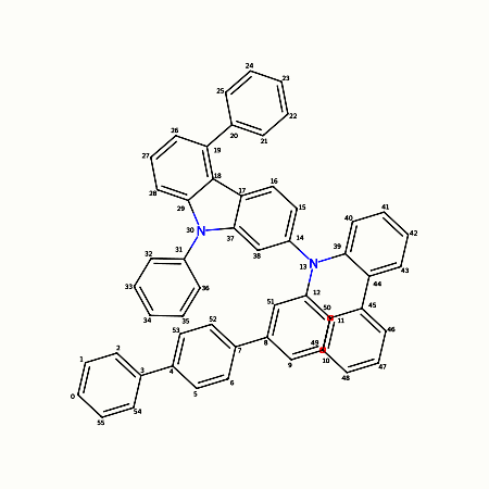 c1ccc(-c2ccc(-c3cccc(N(c4ccc5c6c(-c7ccccc7)cccc6n(-c6ccccc6)c5c4)c4ccccc4-c4ccccc4)c3)cc2)cc1